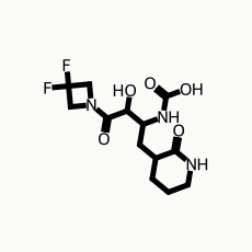 O=C(O)NC(CC1CCCNC1=O)C(O)C(=O)N1CC(F)(F)C1